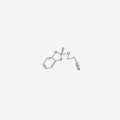 N#CCCOP1(=O)Oc2ccccc2O1